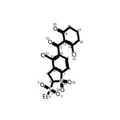 CCS(=O)(=O)C1Cc2c(ccc(C(=O)C3=C(Cl)CCCC3=O)c2Cl)S1(=O)=O